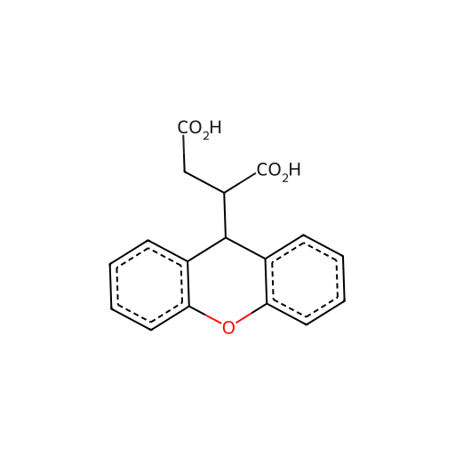 O=C(O)CC(C(=O)O)C1c2ccccc2Oc2ccccc21